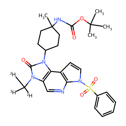 [2H]C([2H])([2H])n1c(=O)n(C2CCC(C)(NC(=O)OC(C)(C)C)CC2)c2c3ccn(S(=O)(=O)c4ccccc4)c3ncc21